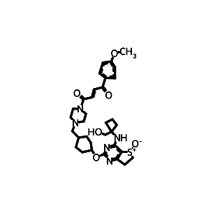 COc1ccc(C(=O)/C=C/C(=O)N2CCN(CC3CCC(Oc4nc5c(c(NC6(CO)CCC6)n4)[S@+]([O-])CC5)CC3)CC2)cc1